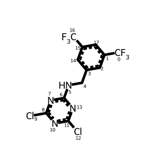 FC(F)(F)c1cc(CNc2nc(Cl)nc(Cl)n2)cc(C(F)(F)F)c1